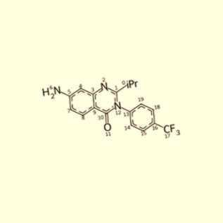 CC(C)c1nc2cc(N)ccc2c(=O)n1-c1ccc(C(F)(F)F)cc1